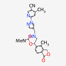 CNC(=O)OC(CNCc1cnn(-c2cc(C)c(C#N)cn2)c1)c1ccc2c(c1C)COC2=O